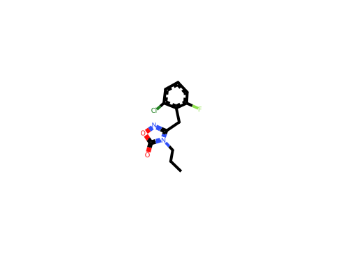 CCCn1c(Cc2c(F)cccc2Cl)noc1=O